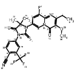 CCc1nc2c(F)cc(N3C(=S)N(c4ccc(C#N)c(C(F)(F)F)c4)C(=O)C3(C)C)cn2c(=O)c1OC